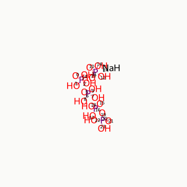 O=P(O)(O)O.O=P(O)(O)O.O=P(O)(O)O.O=P(O)(O)OP(=O)(O)O.[NaH]